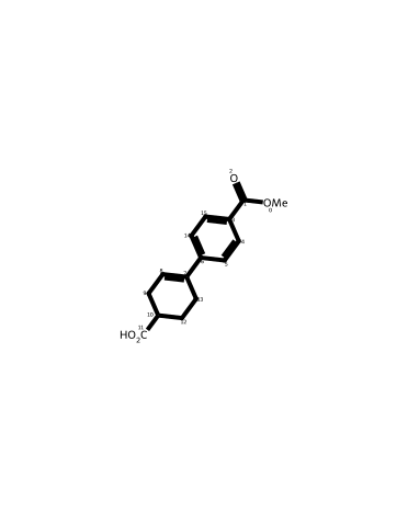 COC(=O)c1ccc(C2=CCC(C(=O)O)CC2)cc1